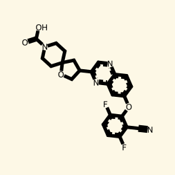 N#Cc1c(F)ccc(F)c1Oc1ccc2ncc(C3COC4(CCN(C(=O)O)CC4)C3)nc2c1